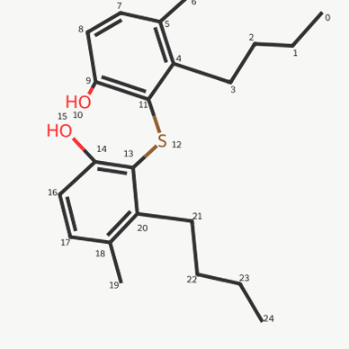 CCCCc1c(C)ccc(O)c1Sc1c(O)ccc(C)c1CCCC